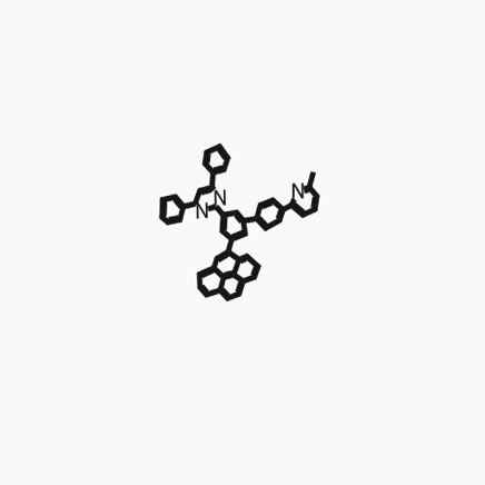 Cc1cccc(-c2ccc(-c3cc(-c4nc(-c5ccccc5)cc(-c5ccccc5)n4)cc(-c4cc5cccc6ccc7cccc4c7c65)c3)cc2)n1